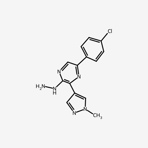 Cn1cc(-c2nc(-c3ccc(Cl)cc3)cnc2NN)cn1